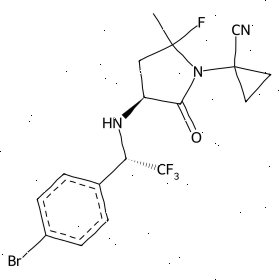 CC1(F)C[C@H](N[C@@H](c2ccc(Br)cc2)C(F)(F)F)C(=O)N1C1(C#N)CC1